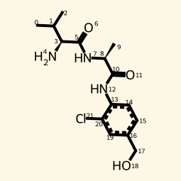 CC(C)[C@H](N)C(=O)N[C@@H](C)C(=O)Nc1ccc(CO)cc1Cl